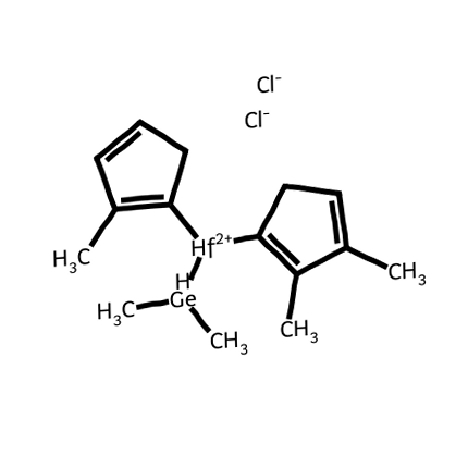 CC1=CC[C]([Hf+2]([C]2=C(C)C=CC2)[GeH]([CH3])[CH3])=C1C.[Cl-].[Cl-]